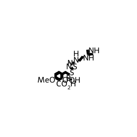 COc1ccc2c(c1C(=O)O)OB(O)[C@@H](Sc1nnc(NCCNC3CNC3)s1)C2